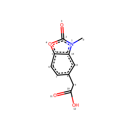 Cn1c(=O)oc2ccc(CC(=O)O)cc21